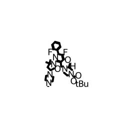 CN1CCN(C2CN(c3nc(-c4ccccc4F)c(F)c4c3C(=O)N3CCN(C(=O)OC(C)(C)C)C[C@@H]3CO4)C(C)(C)C2)CC1